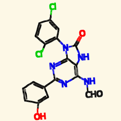 O=CNc1nc(-c2cccc(O)c2)nc2c1[nH]c(=O)n2-c1cc(Cl)ccc1Cl